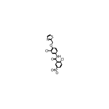 O=C(Nc1ccc(OCc2nccs2)c(Cl)c1)c1cc([N+](=O)[O-])ccc1Cl